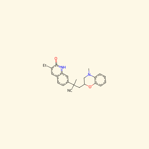 CCc1cc2ccc(C(C)(C#N)CC3CN(C)c4ccccc4O3)cc2[nH]c1=O